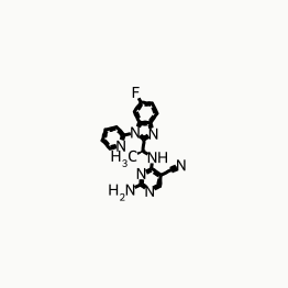 C[C@H](Nc1nc(N)ncc1C#N)c1nc2ccc(F)cc2n1-c1ccccn1